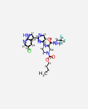 CCCCOC(=O)N1CCN(c2ccnc(-c3c[nH]c4ncc(Cl)cc34)n2)[C@@H](C(=O)NCC(F)(F)F)C1